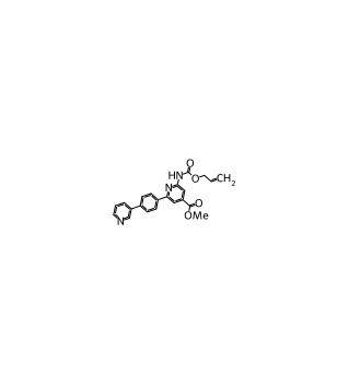 C=CCOC(=O)Nc1cc(C(=O)OC)cc(-c2ccc(-c3cccnc3)cc2)n1